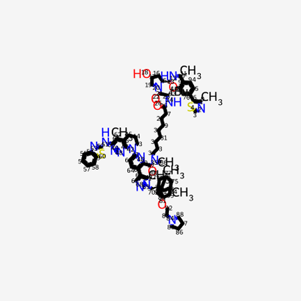 Cc1ncsc1-c1ccc([C@H](C)NC(=O)[C@@H]2C[C@@H](O)CN2C(=O)[C@@H](NC(=O)CCCCCCCCN(C)C(=O)c2nc(N3CCCc4c3nnc(Nc3nc5ccccc5s3)c4C)ccc2-c2cnn(C[C@]34C[C@]5(C)C[C@](C)(C3)C[C@@](OCCN3CCCC3)(C5)C4)c2C)C(C)(C)C)cc1